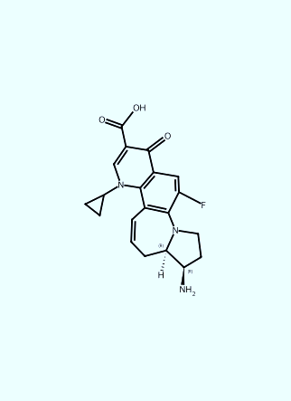 N[C@@H]1CCN2c3c(F)cc4c(=O)c(C(=O)O)cn(C5CC5)c4c3C=CC[C@H]12